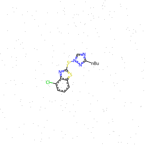 CCCCc1ncn(Sc2nc3c(Cl)cccc3s2)n1